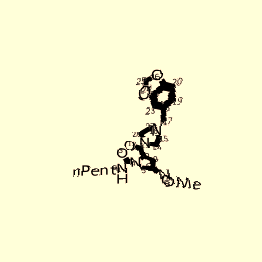 CCCCCNC(=O)N1CC(=NOC)CC1C(=O)N1CCN(Cc2ccc3c(c2)OCO3)CC1